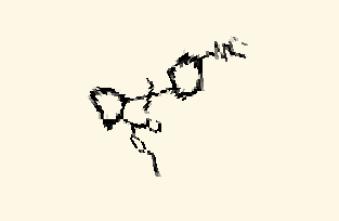 [C-]#[N+]c1ccc(C(C)(C)c2ccccc2C(=O)OCC)cc1